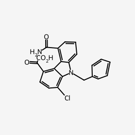 NC(=O)c1cccc2c1c1c(C(=O)C(=O)O)ccc(Cl)c1n2Cc1ccccc1